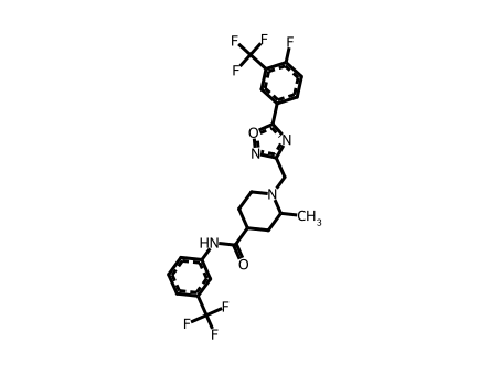 CC1CC(C(=O)Nc2cccc(C(F)(F)F)c2)CCN1Cc1noc(-c2ccc(F)c(C(F)(F)F)c2)n1